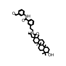 CCCC1(C(=O)NCCc2cccc(C(=O)Nc3cccc(C=O)c3)c2)CC[C@]2(C)C(CCC3C4(C)CCC(O)C(C)(C)C4CCC32C)C1C